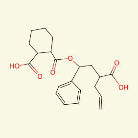 C=CCC(CC(OC(=O)C1CCCCC1C(=O)O)c1ccccc1)C(=O)O